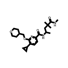 CNC(=O)C(C)(C)CC(C)NC(=O)c1ccc(C2CC2)c(OCC2CCOCC2)n1